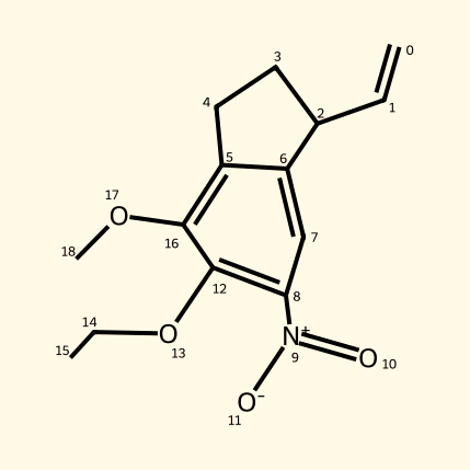 C=CC1CCc2c1cc([N+](=O)[O-])c(OCC)c2OC